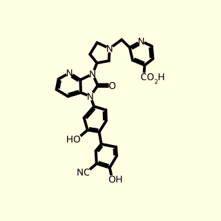 N#Cc1cc(-c2ccc(-n3c(=O)n(C4CCN(Cc5cc(C(=O)O)ccn5)C4)c4ncccc43)cc2O)ccc1O